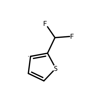 FC(F)c1[c]ccs1